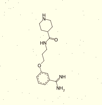 N=C(N)c1cccc(OCCCNC(=O)C2CCNCC2)c1